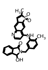 CC1=Cc2cc3nccc(Nc4cc(CN5C(=O)c6ccccc6C5O)ccc4C)c3cc2S1(=O)=O